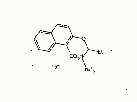 CCC(CN)Oc1ccc2ccccc2c1C(=O)O.Cl